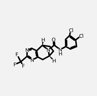 O=C(Nc1ccc(Cl)c(Cl)c1)N1[C@@H]2CC[C@H]1c1cnc(C(F)(F)F)nc1C2